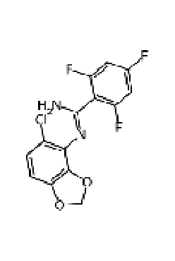 NC(=Nc1c(Cl)ccc2c1OCO2)c1c(F)cc(F)cc1F